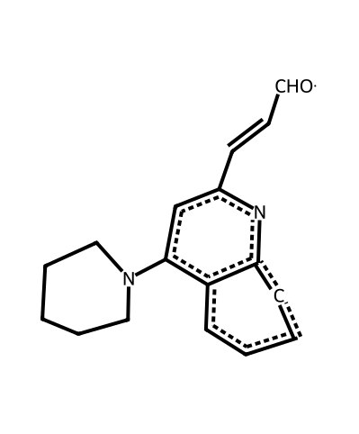 O=[C]C=Cc1cc(N2CCCCC2)c2ccccc2n1